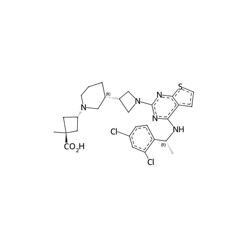 C[C@@H](Nc1nc(N2CC([C@H]3CCCN([C@H]4C[C@](C)(C(=O)O)C4)C3)C2)nc2sccc12)c1ccc(Cl)cc1Cl